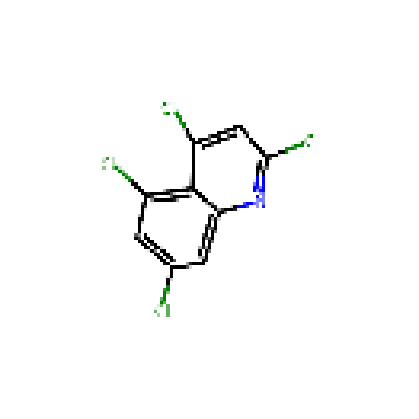 Clc1cc(Cl)c2c(Cl)cc(Cl)nc2c1